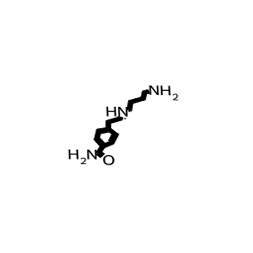 NCCCCN[CH]Cc1ccc(C(N)=O)cc1